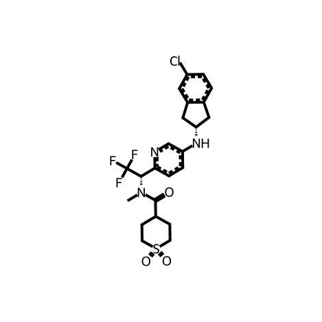 CN(C(=O)C1CCS(=O)(=O)CC1)[C@@H](c1ccc(N[C@H]2Cc3ccc(Cl)cc3C2)cn1)C(F)(F)F